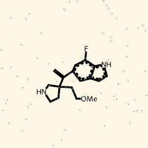 C=C(c1cc(F)c2[nH]ccc2c1)C1(CCOC)CCNC1